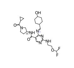 O=C(N[C@H]1CCN(C(=O)C2CC2)C1)c1cnc(NCCOC(F)F)nc1/N=C/C1CCC(O)CC1